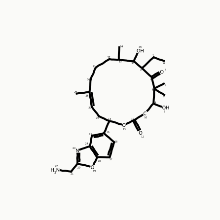 CCC1C(=O)C(C)(C)C(O)CC(=O)OC(c2ccc3oc(CN)nc3c2)CC=C(C)CCCC(C)C1O